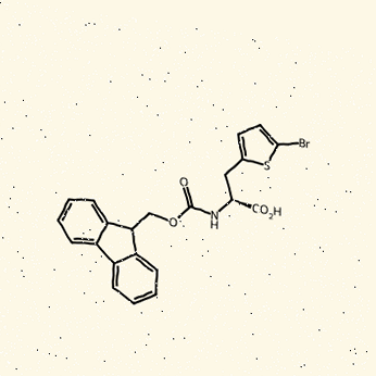 O=C(N[C@@H](Cc1ccc(Br)s1)C(=O)O)OCC1c2ccccc2-c2ccccc21